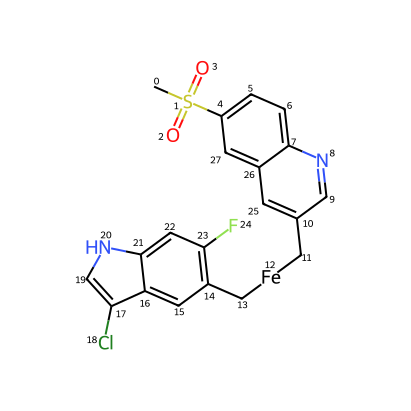 CS(=O)(=O)c1ccc2ncc([CH2][Fe][CH2]c3cc4c(Cl)c[nH]c4cc3F)cc2c1